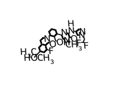 Cn1cc(-c2cccc(-n3ccc4cc(C(C)(C)O)cc(F)c4c3=O)c2CO)nc(Nc2cnn(CC(F)F)c2)c1=O